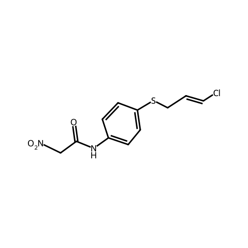 O=C(C[N+](=O)[O-])Nc1ccc(SCC=CCl)cc1